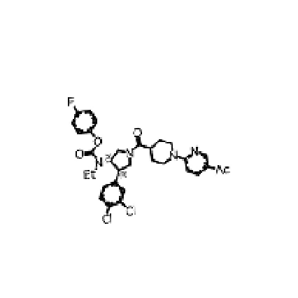 CCN(C(=O)Oc1ccc(F)cc1)[C@@H]1CN(C(=O)C2CCN(c3ccc(C(C)=O)cn3)CC2)C[C@H]1c1ccc(Cl)c(Cl)c1